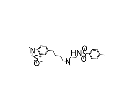 Cc1ccc(S(=O)(=O)NCCN(C)CCCCc2ccc3c(c2)[S+]([O-])CN3C)cc1